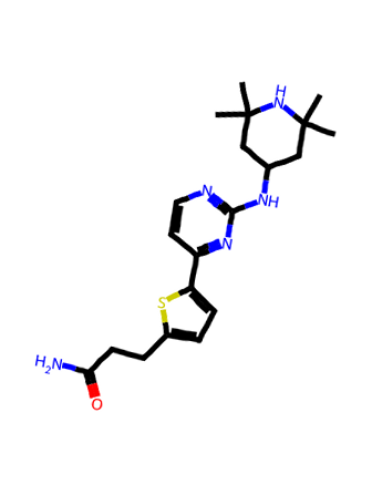 CC1(C)CC(Nc2nccc(-c3ccc(CCC(N)=O)s3)n2)CC(C)(C)N1